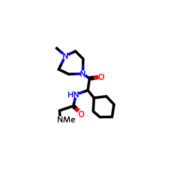 CNCC(=O)NC(C(=O)N1CCN(C)CC1)C1CCCCC1